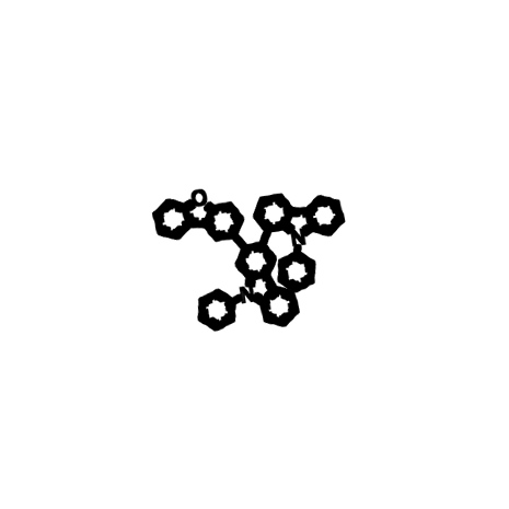 c1ccc(-n2c3ccccc3c3cc(-c4cccc5c6ccccc6n(-c6ccccc6)c45)c(-c4ccc5oc6ccccc6c5c4)cc32)cc1